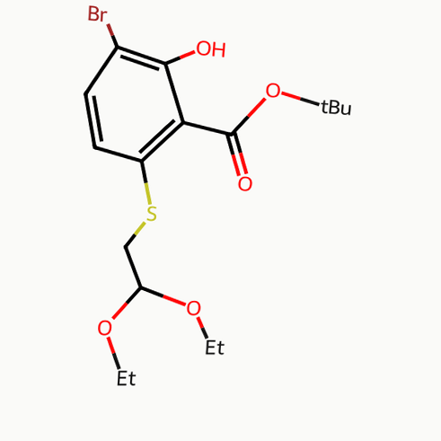 CCOC(CSc1ccc(Br)c(O)c1C(=O)OC(C)(C)C)OCC